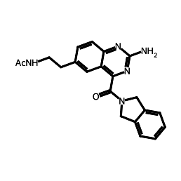 CC(=O)NCCc1ccc2nc(N)nc(C(=O)N3Cc4ccccc4C3)c2c1